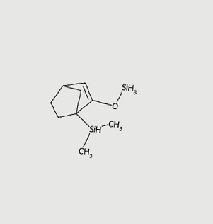 C[SiH](C)C12CCC(C=C1O[SiH3])C2